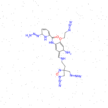 [N-]=[N+]=NCCOC1=CC(N)/C(=C\NCCC(CN=[N+]=[N-])(CN=[N+]=[N-])N=O)C=C1NC(=O)C1=CC=CC(N=NN)N1